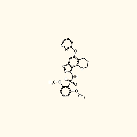 COc1cccc(OC)c1S(=O)(=O)Nc1noc2cc(Oc3cccnn3)c3c(c12)OCCC3